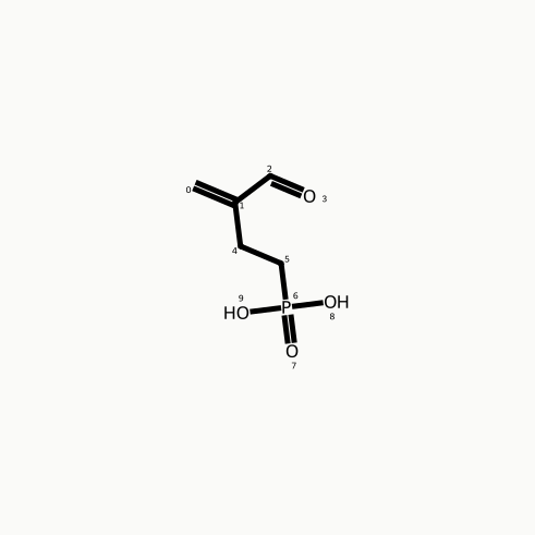 C=C(C=O)CCP(=O)(O)O